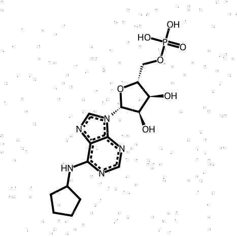 O=P(O)(O)OC[C@H]1O[C@@H](n2cnc3c(NC4CCCC4)ncnc32)[C@H](O)[C@@H]1O